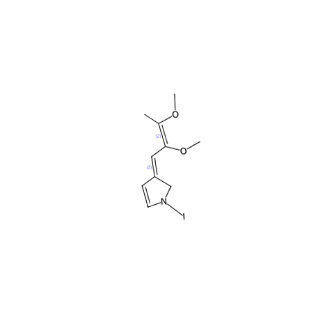 CO/C(C)=C(/C=C1/C=CN(I)C1)OC